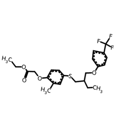 CCOC(=O)COc1ccc(SCC(CC)COc2ccc(C(F)(F)F)cc2)cc1C